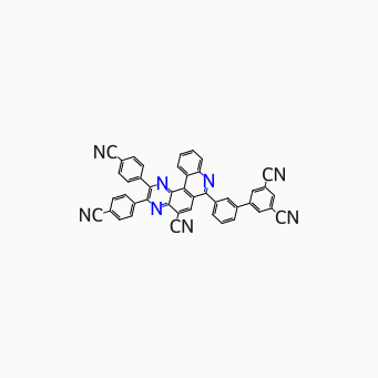 N#Cc1ccc(-c2nc3c(C#N)cc4c(-c5cccc(-c6cc(C#N)cc(C#N)c6)c5)nc5ccccc5c4c3nc2-c2ccc(C#N)cc2)cc1